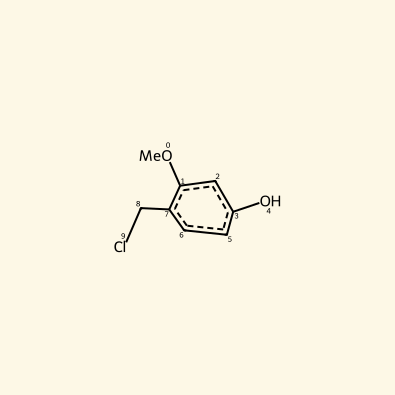 COc1cc(O)ccc1CCl